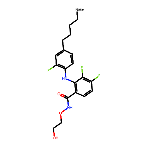 CNCCCCc1ccc(Nc2c(C(=O)NOCCO)ccc(F)c2F)c(F)c1